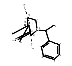 CC(c1ccccc1)N1C[C@H]2CC(C)(C)[C@@H]1C(=O)O2